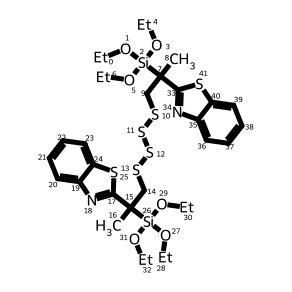 CCO[Si](OCC)(OCC)C(C)(CSSSSCC(C)(c1nc2ccccc2s1)[Si](OCC)(OCC)OCC)c1nc2ccccc2s1